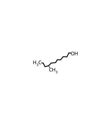 CCC[C@H](C)CCCCCCCO